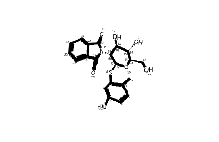 Cc1ccc(C(C)(C)C)cc1S[C@@H]1O[C@H](CO)[C@@H](O)[C@H](O)[C@H]1N1C(=O)c2ccccc2C1=O